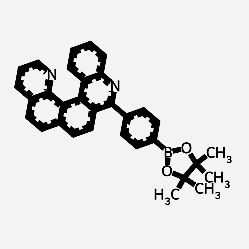 CC1(C)OB(c2ccc(-c3nc4ccccc4c4c3ccc3ccc5cccnc5c34)cc2)OC1(C)C